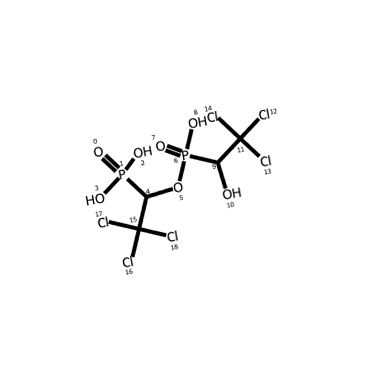 O=P(O)(O)C(OP(=O)(O)C(O)C(Cl)(Cl)Cl)C(Cl)(Cl)Cl